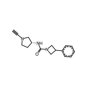 C#CN1CC[C@@H](NC(=O)N2CC(c3ccccc3)C2)C1